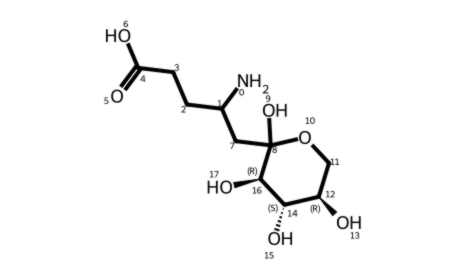 NC(CCC(=O)O)CC1(O)OC[C@@H](O)[C@H](O)[C@H]1O